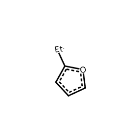 C[CH]c1ccco1